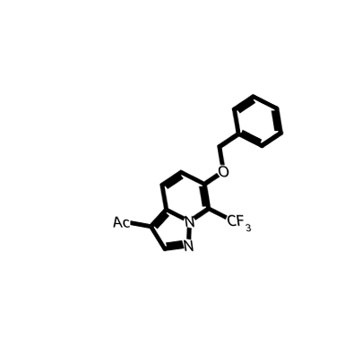 CC(=O)c1cnn2c(C(F)(F)F)c(OCc3ccccc3)ccc12